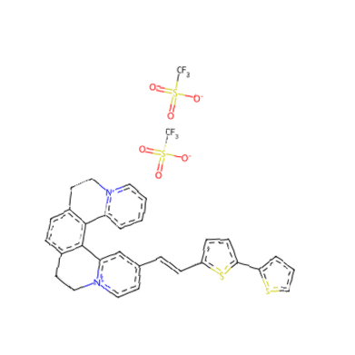 C(=Cc1ccc(-c2cccs2)s1)c1cc[n+]2c(c1)-c1c(ccc3c1-c1cccc[n+]1CC3)CC2.O=S(=O)([O-])C(F)(F)F.O=S(=O)([O-])C(F)(F)F